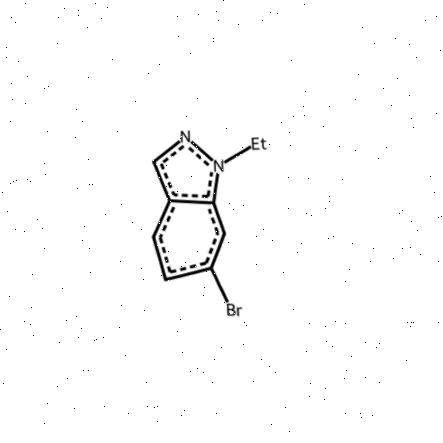 CCn1ncc2ccc(Br)cc21